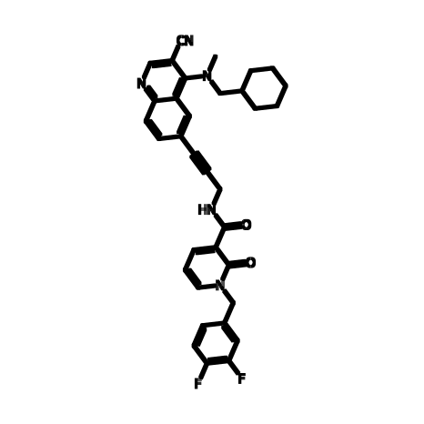 CN(CC1CCCCC1)c1c(C#N)cnc2ccc(C#CCNC(=O)c3cccn(Cc4ccc(F)c(F)c4)c3=O)cc12